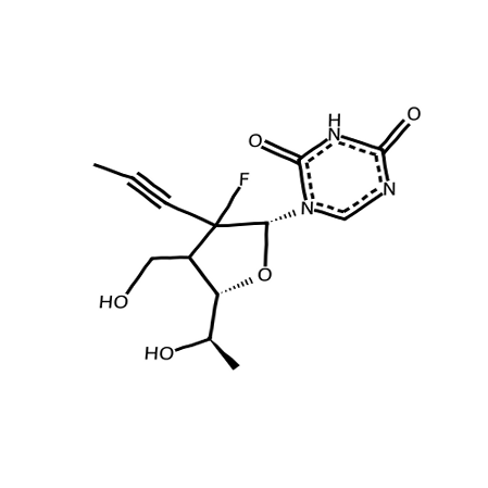 CC#CC1(F)C(CO)[C@@H]([C@@H](C)O)O[C@H]1n1cnc(=O)[nH]c1=O